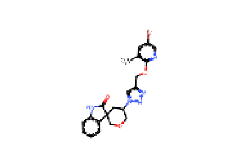 O=C1Nc2ccccc2C12COCC(n1cc(COc3ncc(Br)cc3[N+](=O)[O-])nn1)C2